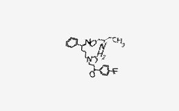 CCC(N)CON=C(CCCN1CCC(C(=O)c2ccc(F)cc2)C1)c1ccccc1